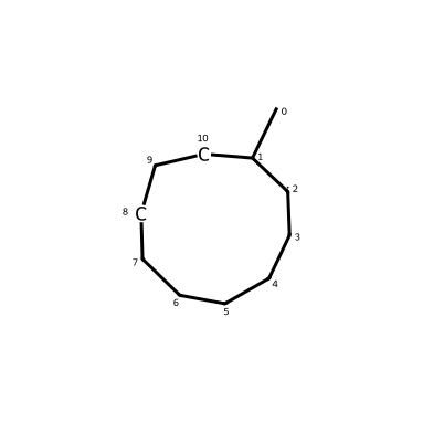 CC1[CH]CCCCCCCC1